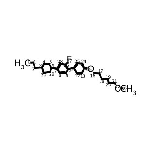 CCCC1CCC(c2ccc(-c3ccc(OCCCCCCOC)cc3)c(F)c2)CC1